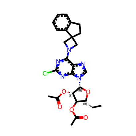 CC[C@H]1O[C@@H](n2cnc3c(N4CC5(CCc6ccccc65)C4)nc(Cl)nc32)[C@@H](OC(C)=O)C1OC(C)=O